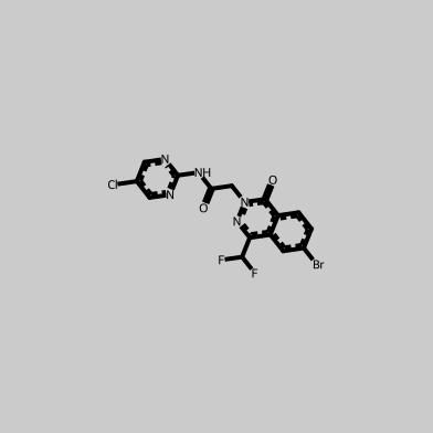 O=C(Cn1nc(C(F)F)c2cc(Br)ccc2c1=O)Nc1ncc(Cl)cn1